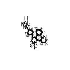 O=C1CC(c2ccc(-c3nn[nH]n3)cc2)C(c2ccccc2)=C(c2cccnc2)N1